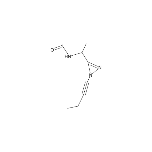 CCC#CN1N=C1C(C)N[C]=O